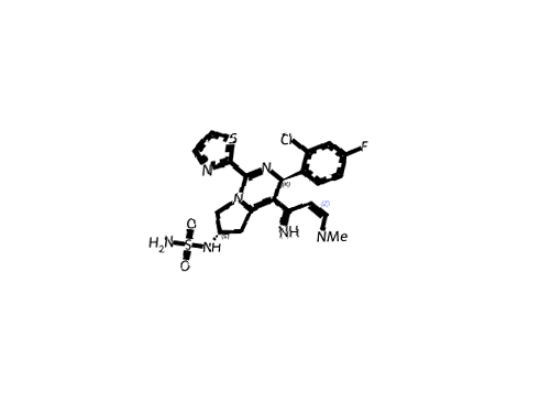 CN/C=C\C(=N)C1=C2C[C@H](NS(N)(=O)=O)CN2C(c2nccs2)=N[C@H]1c1ccc(F)cc1Cl